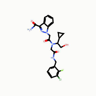 NC(=O)c1nn(CC(=O)N(CC(=O)NCc2cccc(Cl)c2F)C(CO)C2CC2)c2ccccc12